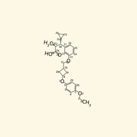 CCOc1ccc(OC2CC(COc3cccc([C@H](C4CC4)[C@H](C)C(=O)O)c3)C2)cc1